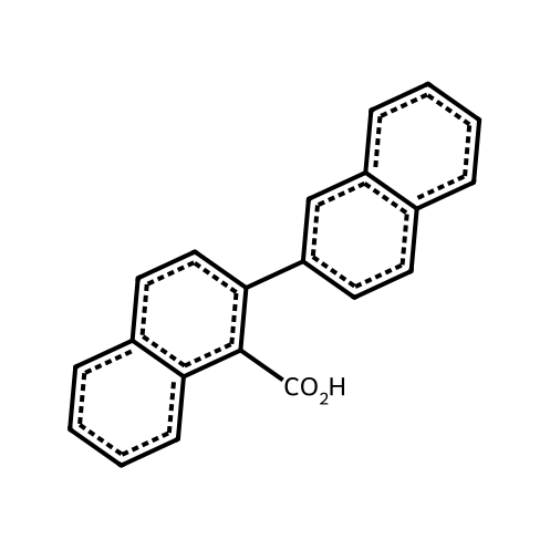 O=C(O)c1c(-c2ccc3ccccc3c2)ccc2ccccc12